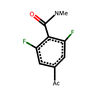 CNC(=O)c1c(F)cc(C(C)=O)cc1F